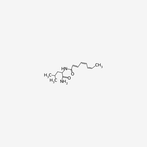 C\C=C/C=C\C=C\C(=O)NC(CC(C)C)C(N)=O